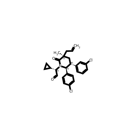 C=CC[C@@]1(C)C[C@H](c2cccc(Cl)c2)[C@@H](c2ccc(Cl)cc2)N([C@H](C=O)C2CC2)C1=O